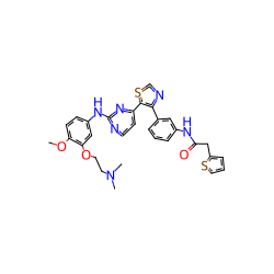 COc1ccc(Nc2nccc(-c3scnc3-c3cccc(NC(=O)Cc4cccs4)c3)n2)cc1OCCN(C)C